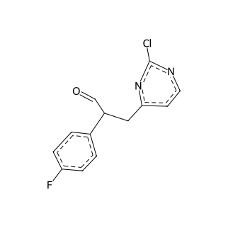 O=CC(Cc1ccnc(Cl)n1)c1ccc(F)cc1